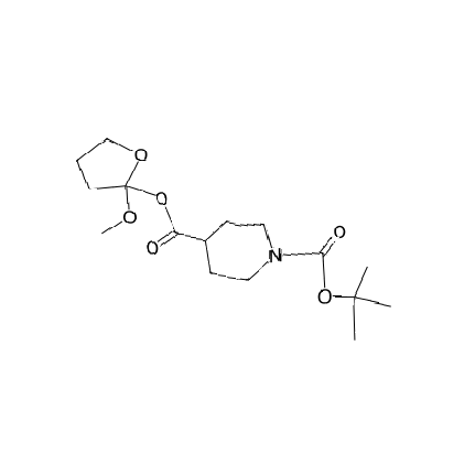 COC1(OC(=O)C2CCN(C(=O)OC(C)(C)C)CC2)CCCO1